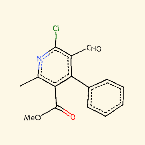 COC(=O)c1c(C)nc(Cl)c(C=O)c1-c1ccccc1